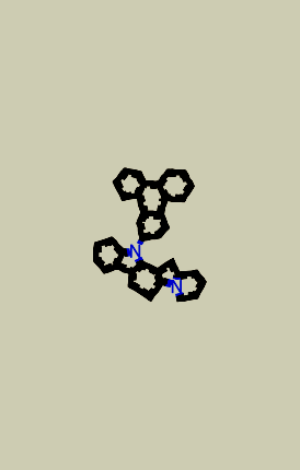 c1ccc2c(c1)c1ccccc1c1cc(-n3c4ccccc4c4ccc5c(cc6ccccn65)c43)ccc21